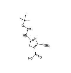 C#Cc1nc(NC(=O)OC(C)(C)C)sc1C(=O)O